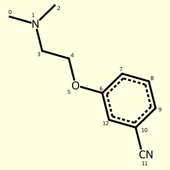 CN(C)CCOc1cccc(C#N)c1